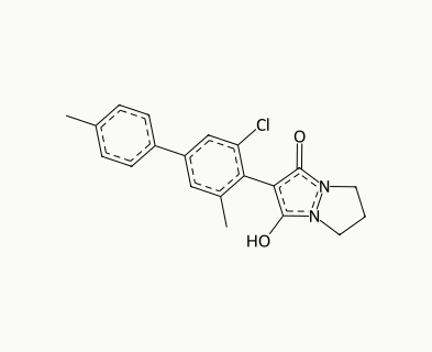 Cc1ccc(-c2cc(C)c(-c3c(O)n4n(c3=O)CCC4)c(Cl)c2)cc1